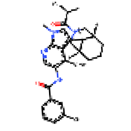 COc1c(NC(=O)c2cccc(C#N)c2)cnc2c1c([C@@H]1[C@@H]3CCC[C@H]1CN(C(=O)[C@H](C)C(C)(C)C)C3)cn2C